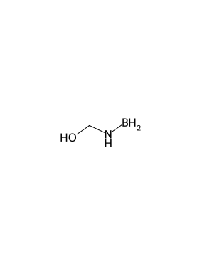 BNCO